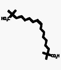 CC(C)(CCCCC/C=C\CCCCCCC(C)(C)C(=O)O)C(=O)O